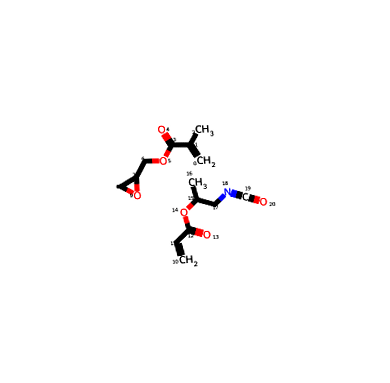 C=C(C)C(=O)OCC1CO1.C=CC(=O)OC(C)CN=C=O